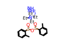 CC[N+](CC)(CC)CC.Cc1ccccc1S(=O)OS(=O)c1ccccc1C.N.N